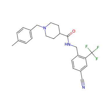 Cc1ccc(CN2CCC(C(=O)NCc3ccc(C#N)cc3C(F)(F)F)CC2)cc1